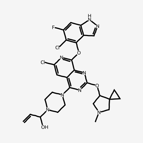 C=CC(O)N1CCN(c2nc(OC3CN(C)CC34CC4)nc3c(Oc4c(Cl)c(F)cc5[nH]ncc45)nc(Cl)cc23)CC1